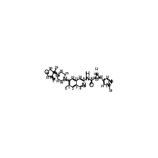 Cc1cc2cnc(NC(=O)[C@H]3[C@H](C)[C@@H]3c3cnn(C)c3)cc2cc1N1CCN([C@@]2(C)COC[C@H]2F)CC1